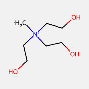 [CH2][N+](CCO)(CCO)CCO